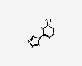 NC1CCC=C(n2ccnc2)C1